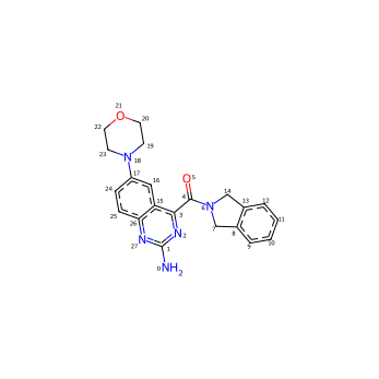 Nc1nc(C(=O)N2Cc3ccccc3C2)c2cc(N3CCOCC3)ccc2n1